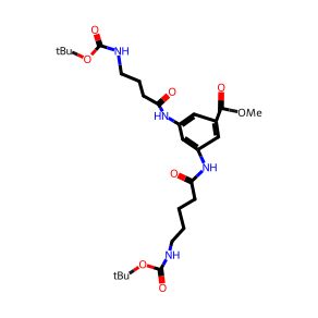 COC(=O)c1cc(NC(=O)CCCCNC(=O)OC(C)(C)C)cc(NC(=O)CCCNC(=O)OC(C)(C)C)c1